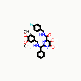 COc1ccc(CNC(c2ccccc2)c2nc(O)c(O)c(C(=O)NCc3ccc(F)cc3)n2)cc1OC